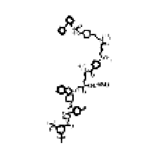 CN(CCN1CCC(OC(=O)Nc2ccccc2-c2ccccc2)CC1)C(=O)CCCN(C)c1ccc(C(=O)N(C)CCCN(C)C(=O)CO[C@H]2Cc3ccccc3C23CCN(CC[C@]2(c4ccc(F)cc4)CN(C(=O)c4cc(C(F)(F)F)cc(C(F)(F)F)c4)CO2)CC3)cc1.Cl.Cl.Cl